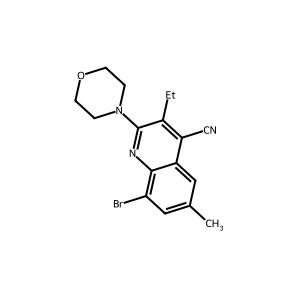 CCc1c(N2CCOCC2)nc2c(Br)cc(C)cc2c1C#N